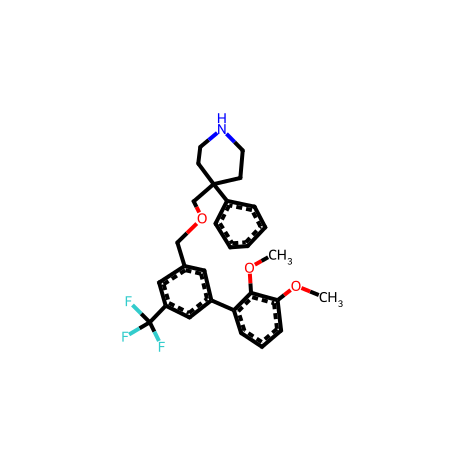 COc1cccc(-c2cc(COCC3(c4ccccc4)CCNCC3)cc(C(F)(F)F)c2)c1OC